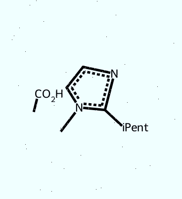 CC(=O)O.CCCC(C)c1nccn1C